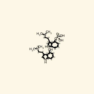 CN(C)CCc1c[nH]c2cccc(O)c12.CN(C)CCc1c[nH]c2cccc(OP(=O)(O)O)c12